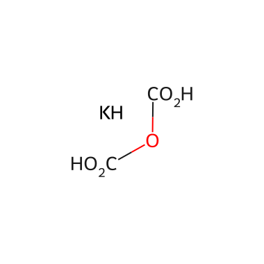 O=C(O)OC(=O)O.[KH]